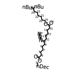 CCCCCCCCCCCOC(=O)CCCCCC(CCCCCC(=O)OCCCCCCC(CCCC)CCCC)N=[N+]=[N-]